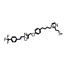 CSCCc1nccn1CCCCc1ccc(OCc2coc(/C=C/c3ccc(C(F)(F)F)cc3)n2)cc1